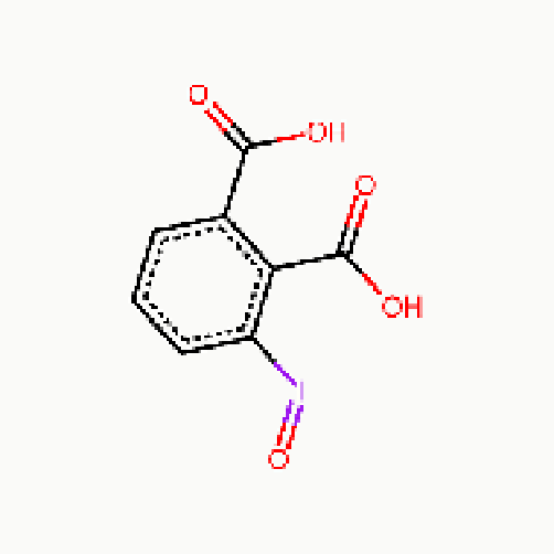 O=Ic1cccc(C(=O)O)c1C(=O)O